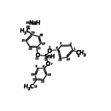 Cc1ccc([O][SnH]([O]c2ccc(C)cc2)[O]c2ccc(C)cc2)cc1.[NaH]